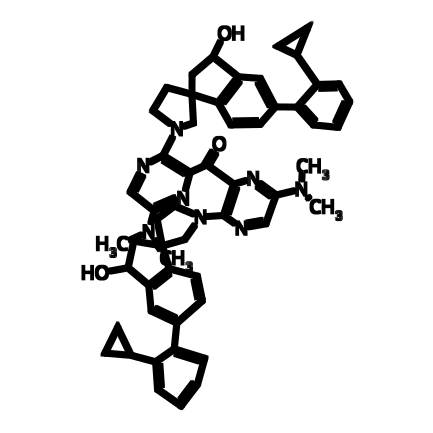 CN(C)c1cnc(N2CCC3(CC(O)c4cc(-c5ccccc5C5CC5)ccc43)C2)c(C(=O)c2nc(N(C)C)cnc2N2CCC3(CC(O)c4cc(-c5ccccc5C5CC5)ccc43)C2)n1